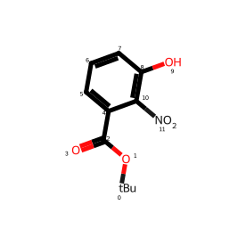 CC(C)(C)OC(=O)c1cccc(O)c1[N+](=O)[O-]